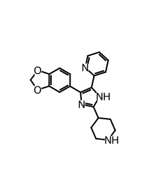 c1ccc(-c2[nH]c(C3CCNCC3)nc2-c2ccc3c(c2)OCO3)nc1